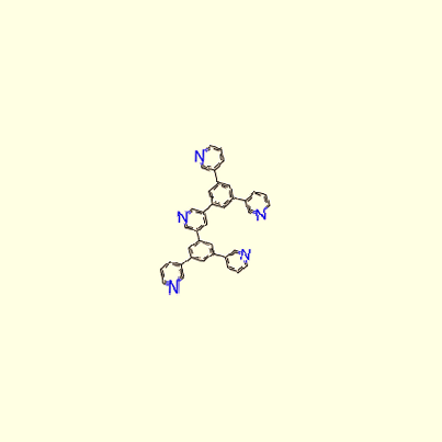 c1cncc(-c2cc(-c3cccnc3)cc(-c3cncc(-c4cc(-c5cccnc5)cc(-c5cccnc5)c4)c3)c2)c1